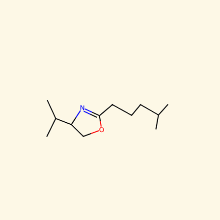 CC(C)CCCC1=NC(C(C)C)CO1